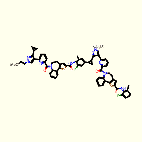 CCOC(=O)n1cc(-c2cccc(C(=O)N3CCc4cc(C(=O)Nc5c(C)cccc5F)sc4-c4ccccc43)n2)c(C2CC2c2cc(C)c(NC(=O)c3cc4c(s3)-c3ccccc3N(C(=O)c3cccc(-c5cn(CCOC)nc5C5CC5)n3)CC4)c(F)c2)n1